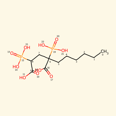 CCCCCCC(CC(C(=O)O)P(=O)(O)O)(C(=O)O)P(=O)(O)O